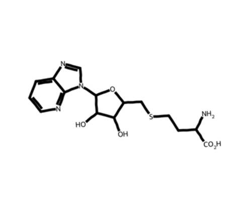 NC(CCSCC1OC(n2cnc3cccnc32)C(O)C1O)C(=O)O